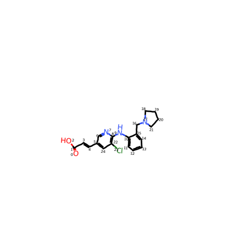 O=C(O)C=Cc1cnc(Nc2ccccc2CN2CCCC2)c(Cl)c1